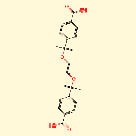 CC(C)(OCCOC(C)(C)c1ccc(C(=O)O)cc1)c1ccc(C(=O)O)cc1